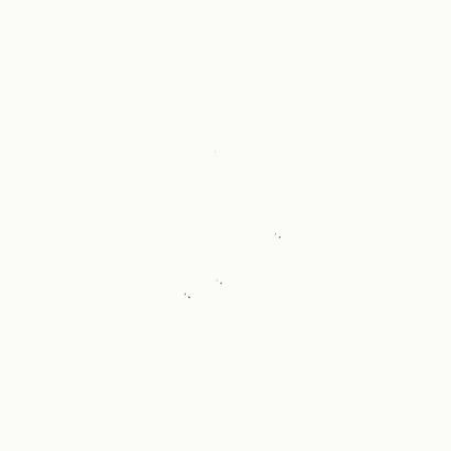 CCC(=O)OC1=C(c2nnc(-c3ccccc3)o2)N(C)S(=O)(=O)c2ccccc21